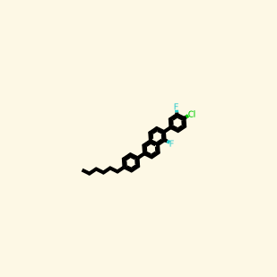 CCCCCCc1ccc(-c2ccc3c(F)c(-c4ccc(Cl)c(F)c4)ccc3c2)cc1